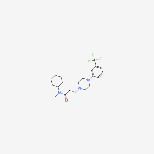 CN(C(=O)CCN1CCN(c2cccc(C(F)(F)F)c2)CC1)C1CCCCC1